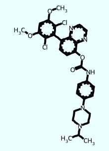 COc1cc(OC)c(Cl)c(-c2ccc(OC(=O)Nc3ccc(N4CCN(C(C)C)CC4)cc3)c3nccnc23)c1Cl